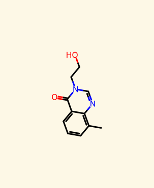 Cc1cccc2c(=O)n(CCO)cnc12